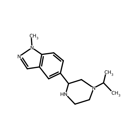 CC(C)N1CCNC(c2ccc3c(cnn3C)c2)C1